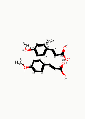 COc1ccc(/C=C/C(=O)[O-])cc1.COc1ccc(/C=C/C(=O)[O-])cc1.[Zn+2]